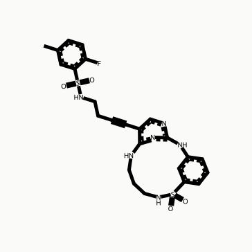 Cc1ccc(F)c(S(=O)(=O)NCCC#Cc2cnc3nc2NCCCNS(=O)(=O)c2cccc(c2)N3)c1